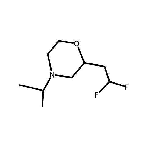 CC(C)N1CCOC(CC(F)F)C1